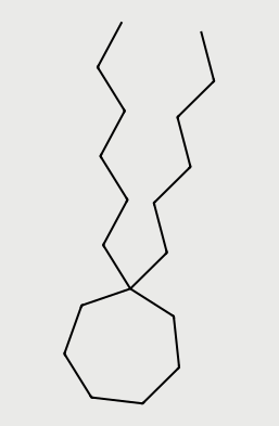 CCCCCCC1(CCCCCC)CCCCCC1